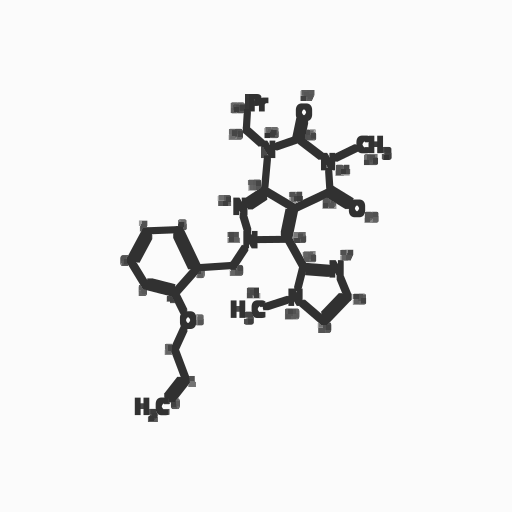 C=CCOc1ccccc1Cn1nc2c(c1-c1nccn1C)c(=O)n(C)c(=O)n2CC(C)C